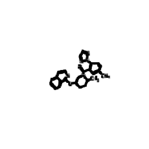 Cc1ccc(-n2nccn2)c(C(=O)N2CC(Oc3nccc4ccccc34)CCC2C)c1